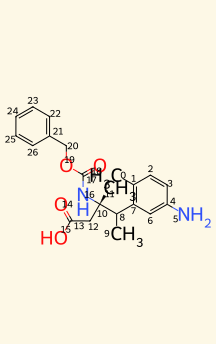 Cc1ccc(N)cc1C(C)[C@](C)(CC(=O)O)NC(=O)OCc1ccccc1